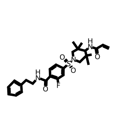 C=CC(=O)NC1C(C)(C)CN(S(=O)(=O)c2ccc(C(=O)NCCc3ccccc3)c(F)c2)CC1(C)C